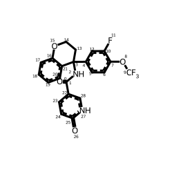 O=C(NC1(c2ccc(OC(F)(F)F)c(F)c2)CCOc2ccccc21)c1ccc(=O)[nH]c1